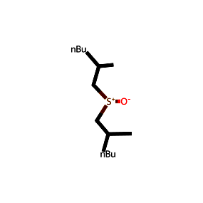 CCCCC(C)C[S+]([O-])CC(C)CCCC